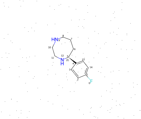 Fc1ccc([C@@H]2CCCNCCN2)cc1